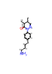 CC1C=NN(c2ccc(CCCCN)cc2)C(=O)C1C